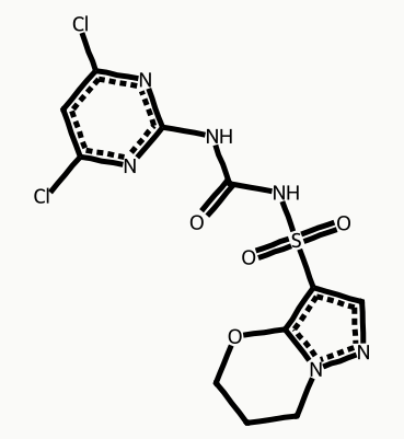 O=C(Nc1nc(Cl)cc(Cl)n1)NS(=O)(=O)c1cnn2c1OCCC2